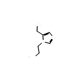 COCCn1cncc1CC#N